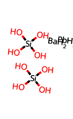 O[Si](O)(O)O.O[Si](O)(O)O.[BaH2].[PbH2]